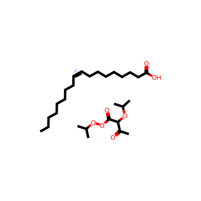 CC(=O)C(OC(C)C)C(=O)OOC(C)C.CCCCCCCC/C=C\CCCCCCCC(=O)O